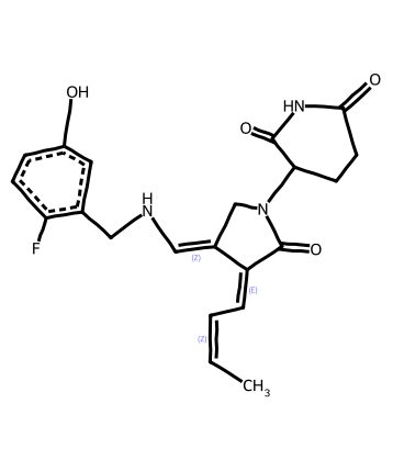 C\C=C/C=C1/C(=O)N(C2CCC(=O)NC2=O)C/C1=C\NCc1cc(O)ccc1F